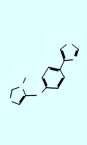 FN1CSC=C1Oc1ccc(-c2cocn2)cc1